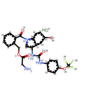 Cl.NCC(=O)OCc1ccccc1C(=O)n1cc(NC(=O)Nc2ccc(OC(F)(F)F)cc2)c2cc(Br)ccc21